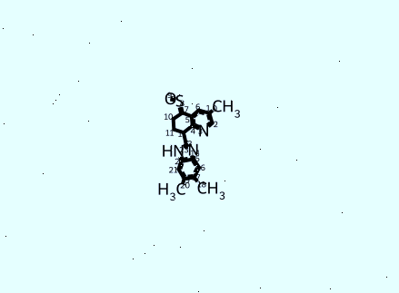 Cc1cnc2c(c1)C(=S=O)CCC2c1nc2cc(C)c(C)cc2[nH]1